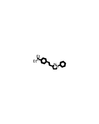 CCN(CC)c1ccc(C=CC2=NN(c3ccccc3)CC2)cc1